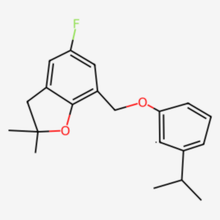 CC(C)c1[c]c(OCc2cc(F)cc3c2OC(C)(C)C3)ccc1